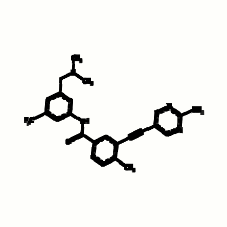 Cc1ccc(C(=O)Nc2cc(CN(C)C)cc(C(F)(F)F)c2)cc1C#Cc1cnc(N)nc1